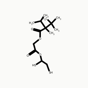 CC(C)C(C)(C(=O)OCC(=O)OC(S)CS)C(C)(C)C